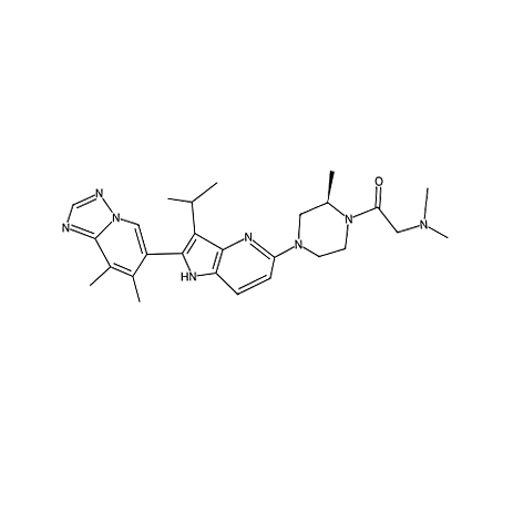 Cc1c(-c2[nH]c3ccc(N4CCN(C(=O)CN(C)C)[C@H](C)C4)nc3c2C(C)C)cn2ncnc2c1C